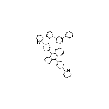 C1=Cc2c(c(C3=CC=C(c4ccccn4)CC3)c3ccccc3c2C2=CC=C(c3ccccn3)CC2)C=C(c2cc(-c3ccccc3)cc(-c3ccccc3)c2)C1